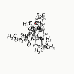 CO[C@@H]1C[C@H](C(=O)N(c2ccc(C(C)(C)C)cc2)C(C)(C(=O)NC2CCC(F)(F)CC2)C2C=NC=CC2)N(C(=O)OC(C)(C)C)C1